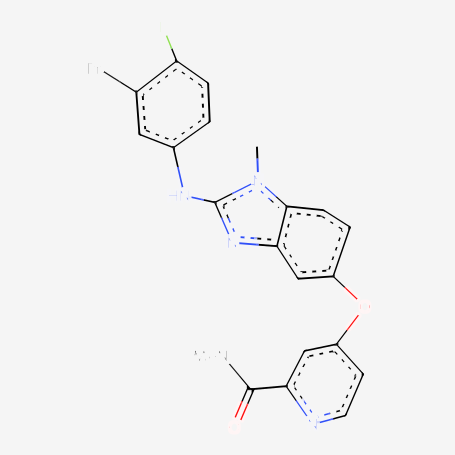 CNC(=O)c1cc(Oc2ccc3c(c2)nc(Nc2ccc(F)c(C(C)C)c2)n3C)ccn1